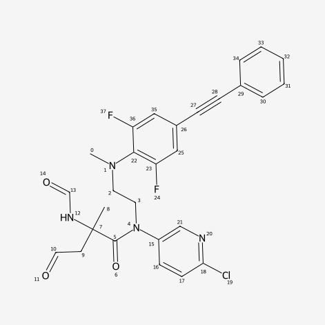 CN(CCN(C(=O)C(C)(CC=O)NC=O)c1ccc(Cl)nc1)c1c(F)cc(C#Cc2ccccc2)cc1F